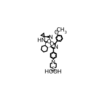 COc1cccc(-c2nc(-c3ccc(N4CCS(O)(O)CC4)cc3)c([C@@H]3CCCC[C@H]3C(=O)NC3(C#N)CC3)o2)c1